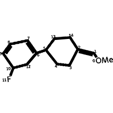 COC=C1CCC(C2=CC=CC(F)C2)CC1